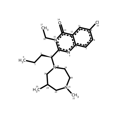 CCC[C@@H](c1nc2ccc(Cl)cc2c(=O)n1CC)N1CCN(C)CC(C)C1